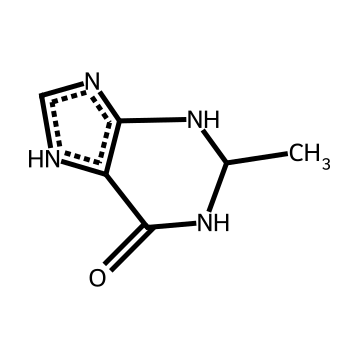 CC1NC(=O)c2[nH]cnc2N1